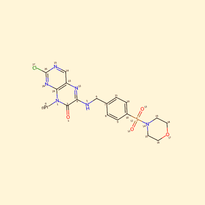 CCCn1c(=O)c(NCc2ccc(S(=O)(=O)N3CCOCC3)cc2)nc2cnc(Cl)nc21